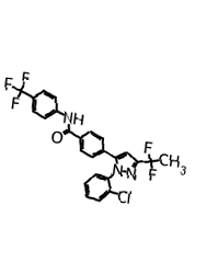 CC(F)(F)c1cc(-c2ccc(C(=O)Nc3ccc(C(F)(F)F)cc3)cc2)n(-c2ccccc2Cl)n1